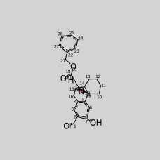 O=Cc1cc2c(cc1O)[C@]13CCCCC1[C@H](C2)N(C(=O)OCc1ccccc1)CCC3